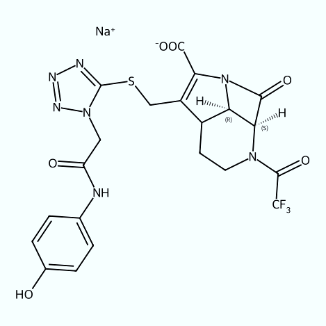 O=C(Cn1nnnc1SCC1=C(C(=O)[O-])N2C(=O)[C@@H]3[C@H]2C1CCN3C(=O)C(F)(F)F)Nc1ccc(O)cc1.[Na+]